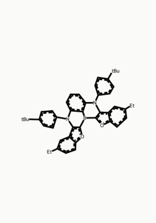 CCc1ccc2oc3c(c2c1)N(c1ccc(C(C)(C)C)cc1)c1cccc2c1B3c1oc3ccc(CC)cc3c1N2c1ccc(C(C)(C)C)cc1